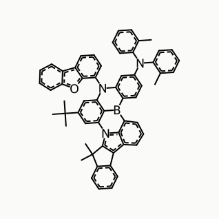 Cc1ccccc1N(c1ccc2c(c1)N(c1cccc3c1oc1ccccc13)c1cc(C(C)(C)C)cc3c1B2c1cccc2c4c(n-3c12)C(C)(C)c1ccccc1-4)c1ccccc1C